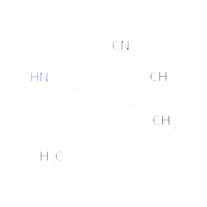 CC1CC(C)(C)C(C#N)C1=N